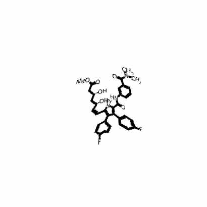 COC(=O)C[C@H](O)C[C@H](O)/C=C\c1c(-c2ccc(F)cc2)c(-c2ccc(F)cc2)c(C(=O)Nc2cccc(C(=O)N(C)C)c2)n1C(C)C